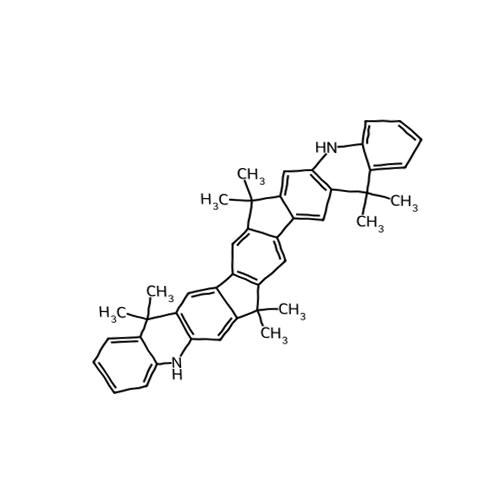 CC1(C)c2ccccc2Nc2cc3c(cc21)-c1cc2c(cc1C3(C)C)-c1cc3c(cc1C2(C)C)Nc1ccccc1C3(C)C